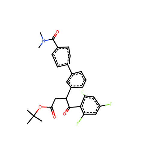 CN(C)C(=O)c1ccc(-c2cccc(C(CC(=O)OC(C)(C)C)C(=O)c3c(F)cc(F)cc3F)c2)cc1